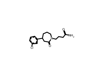 NC(=O)CCCN1CCCC(c2cccc(Cl)c2)CC1=O